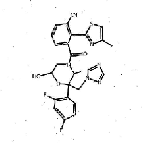 Cc1csc(-c2c(C#N)cccc2C(=O)N2CC(O)OC(Cn3cncn3)(c3ccc(F)cc3F)C2C)n1